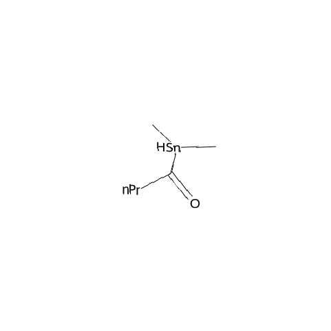 CCC[C](=O)[SnH]([CH3])[CH3]